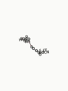 CC1(C)C(=O)N(c2ccc(C#N)c(C(F)(F)F)c2)C(=S)N1c1ccc(-c2ccc(OCCCCCNc3cccc4c3C(=O)N(C3CCC(=O)NC3=O)C4=O)cc2)cc1